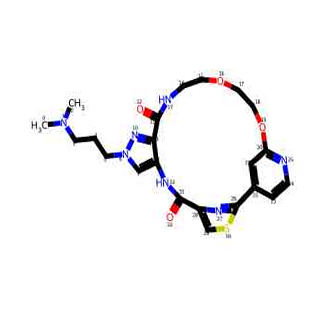 CN(C)CCCn1cc2c(n1)C(=O)NCCOCCOc1cc(ccn1)-c1nc(cs1)C(=O)N2